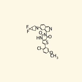 COc1ccc(Cl)c(-c2cc3[nH]c(=O)n(-c4cncc5ccc(N6CC7C(C6)C7(F)F)cc45)c(=O)c3s2)c1